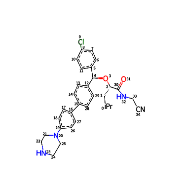 CC(C)C[C@H](O[C@H](c1ccc(Cl)cc1)c1ccc(-c2ccc(N3CCNCC3)cc2)cc1)C(=O)NCC#N